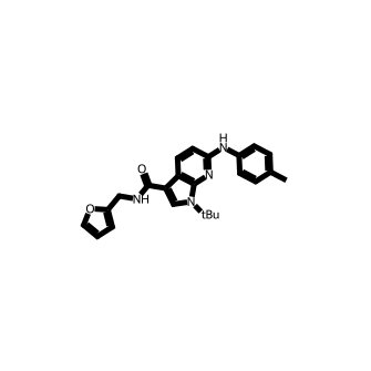 Cc1ccc(Nc2ccc3c(C(=O)NCc4ccco4)cn(C(C)(C)C)c3n2)cc1